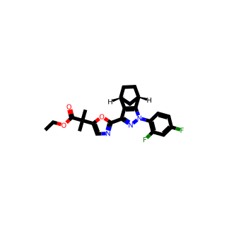 CCOC(=O)C(C)(C)c1cnc(-c2nn(-c3ccc(F)cc3F)c3c2[C@@H]2CC[C@H]3C2)o1